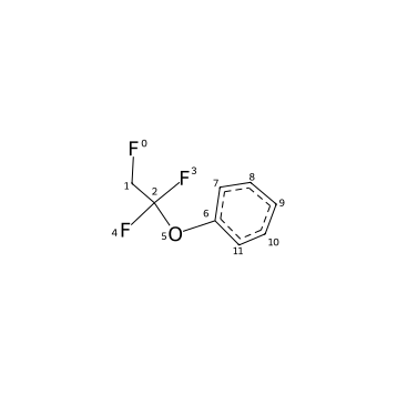 FCC(F)(F)Oc1ccccc1